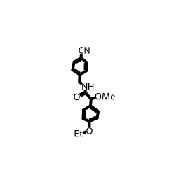 CCOc1ccc(C(OC)C(=O)NCc2ccc(C#N)cc2)cc1